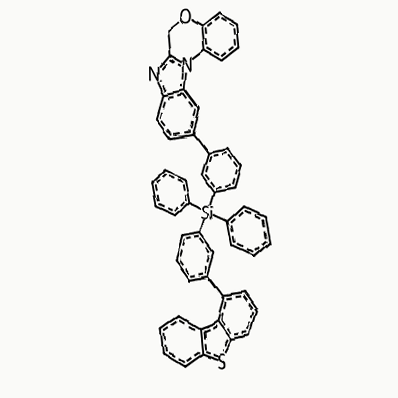 c1ccc([Si](c2ccccc2)(c2cccc(-c3ccc4nc5n(c4c3)-c3ccccc3OC5)c2)c2cccc(-c3cccc4sc5ccccc5c34)c2)cc1